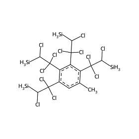 Cc1cc(C(Cl)(Cl)C([SiH3])Cl)c(C(Cl)(Cl)C([SiH3])Cl)c(C(Cl)(Cl)C([SiH3])Cl)c1C(Cl)(Cl)C([SiH3])Cl